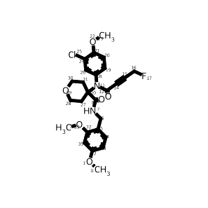 COc1ccc(CNC(=O)C2(N(C(=O)C#CCF)c3ccc(OC)c(Cl)c3)CCOCC2)c(OC)c1